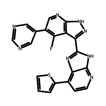 Fc1c(-c2cncnc2)cnc2[nH]nc(-c3nc4c(-c5cccs5)ccnc4[nH]3)c12